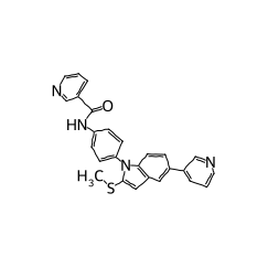 CSc1cc2cc(-c3cccnc3)ccc2n1-c1ccc(NC(=O)c2cccnc2)cc1